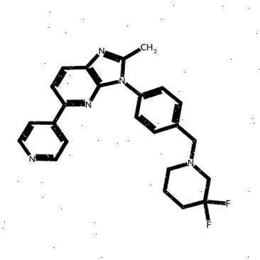 Cc1nc2ccc(-c3ccncc3)nc2n1-c1ccc(CN2CCCC(F)(F)C2)cc1